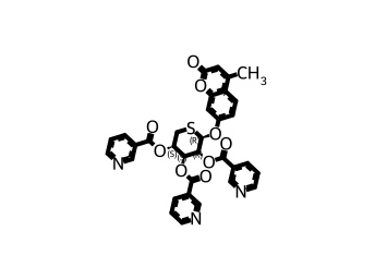 Cc1cc(=O)oc2cc(O[C@@H]3SC[C@@H](OC(=O)c4cccnc4)[C@H](OC(=O)c4cccnc4)[C@H]3OC(=O)c3cccnc3)ccc12